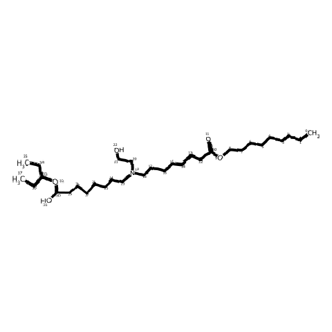 CCCCCCCCCOC(=O)CCCCCCCN(CCO)CCCCCCCC(O)OC(CC)CC